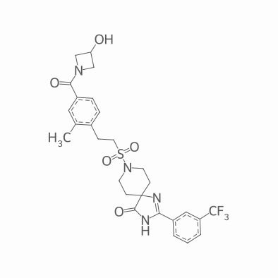 Cc1cc(C(=O)N2CC(O)C2)ccc1CCS(=O)(=O)N1CCC2(CC1)N=C(c1cccc(C(F)(F)F)c1)NC2=O